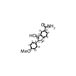 COc1ccc(C2Sc3ccc(C(N)=O)cc3N2O)cc1